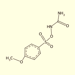 COc1ccc(S(=O)(=O)ONC(N)=O)cc1